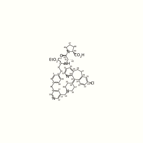 CCOC(=O)[C@H](CCc1ccc(Cc2cncc(CN3CCC(=C4c5ccc(Cl)cc5CCc5cccnc54)CC3)c2)cc1)N[C@@H](C)C(=O)N1CCC[C@H]1C(=O)O